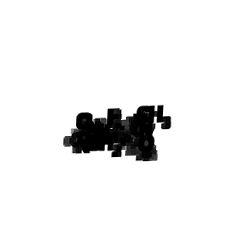 BC1(B)c2ncccc2C(=O)N1Cc1c(F)cc(-c2ccc(OC3CC3)c3nn(C)cc23)cc1F